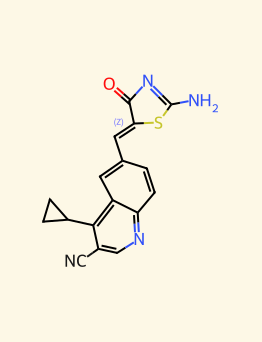 N#Cc1cnc2ccc(/C=C3\SC(N)=NC3=O)cc2c1C1CC1